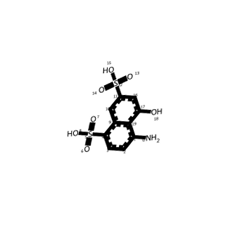 Nc1ccc(S(=O)(=O)O)c2cc(S(=O)(=O)O)cc(O)c12